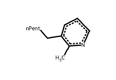 CCCCCCc1cccnc1C